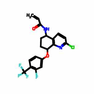 C=CC(=O)NC1CCC(Oc2ccc(C(F)(F)F)c(F)c2)c2nc(Cl)ccc21